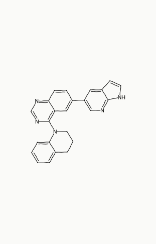 c1ccc2c(c1)CCCN2c1ncnc2ccc(-c3cnc4[nH]ccc4c3)cc12